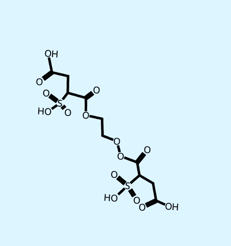 O=C(O)CC(C(=O)OCCOOC(=O)C(CC(=O)O)S(=O)(=O)O)S(=O)(=O)O